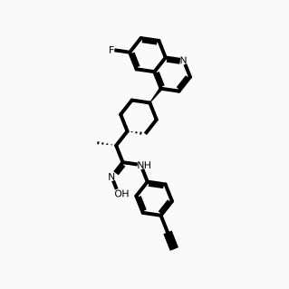 C#Cc1ccc(N/C(=N\O)[C@H](C)[C@H]2CC[C@H](c3ccnc4ccc(F)cc43)CC2)cc1